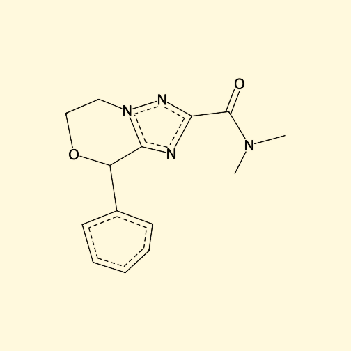 CN(C)C(=O)c1nc2n(n1)CCOC2c1ccccc1